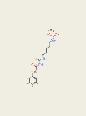 CC(C)(C)OC(=O)NCCCCCNC(=S)NC(=O)OCc1ccccc1